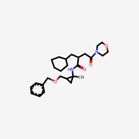 N#CC1(NC(=O)C(CC(=O)N2CCOCC2)CC2CCCCC2)CC1COCc1ccccc1